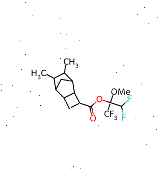 COC(OC(=O)C1CC2C3CC(C(C)C3C)C12)(C(F)F)C(F)(F)F